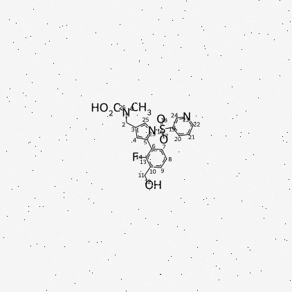 CN(Cc1cc(-c2cccc(CO)c2F)n(S(=O)(=O)c2cccnc2)c1)C(=O)O